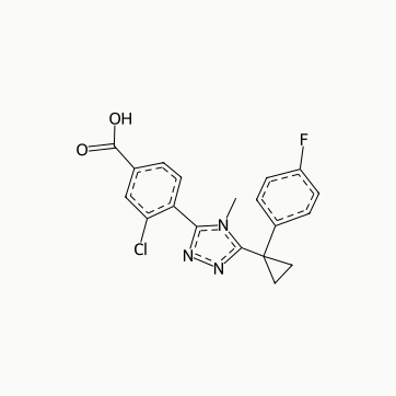 Cn1c(-c2ccc(C(=O)O)cc2Cl)nnc1C1(c2ccc(F)cc2)CC1